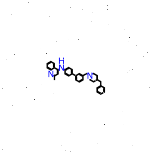 Cc1cc(Nc2ccc(-c3cccc(CN4CCC(Cc5ccccc5)CC4)c3)cc2)c2ccccc2n1